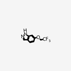 FC(F)(F)COc1ccc2cn[nH]c2c1